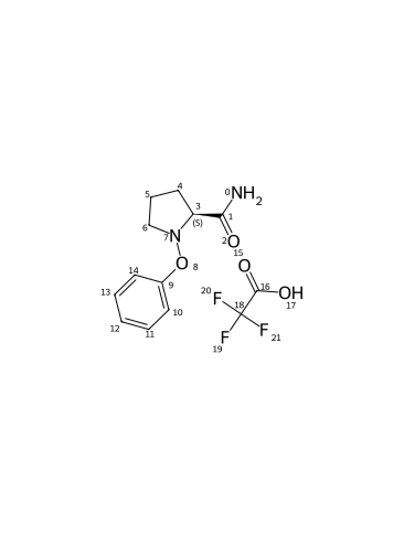 NC(=O)[C@@H]1CCCN1Oc1ccccc1.O=C(O)C(F)(F)F